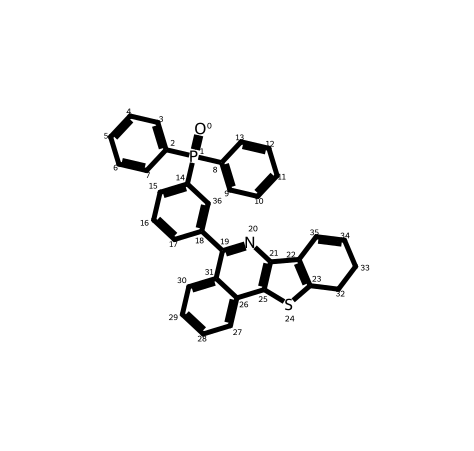 O=P(c1ccccc1)(c1ccccc1)c1cccc(-c2nc3c4c(sc3c3ccccc23)CCC=C4)c1